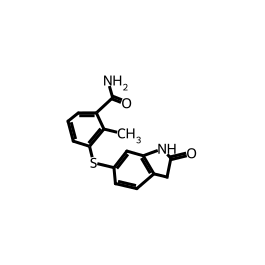 Cc1c(Sc2ccc3c(c2)NC(=O)C3)cccc1C(N)=O